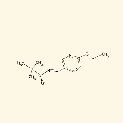 CCOc1ccc(C=N[S@@+]([O-])C(C)(C)C)cn1